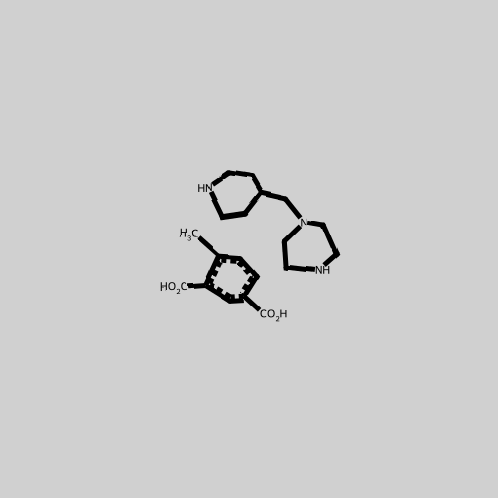 C1CC(CN2CCNCC2)CCN1.Cc1ccc(C(=O)O)cc1C(=O)O